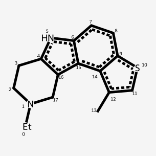 CCN1CCc2[nH]c3ccc4scc(C)c4c3c2C1